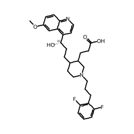 COc1ccc2nccc([C@@H](O)CCC3CCN(CCCc4c(F)cccc4F)CC3CCC(=O)O)c2c1